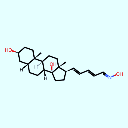 C[C@]12CC[C@H](O)C[C@H]1CC[C@@H]1[C@@H]2CC[C@]2(C)[C@@H](/C=C/C=C/C=N/O)CC[C@]12O